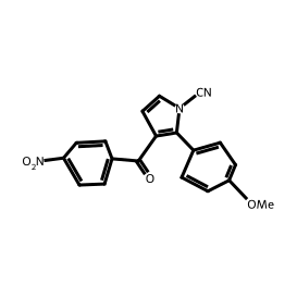 COc1ccc(-c2c(C(=O)c3ccc([N+](=O)[O-])cc3)ccn2C#N)cc1